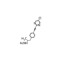 CC(=O)NC(C)Cc1ccc(C#Cc2ncc(Cl)cn2)cc1